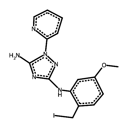 COc1ccc(CI)c(Nc2nc(N)n(-c3ccccn3)n2)c1